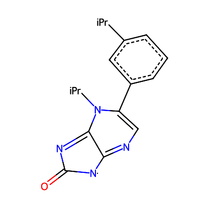 CC(C)c1cccc(C2=CN=C3[N]C(=O)N=C3N2C(C)C)c1